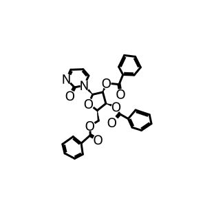 O=C(OC[C@H]1O[C@@H](n2cccnc2=O)[C@@H](OC(=O)c2ccccc2)[C@H]1OC(=O)c1ccccc1)c1ccccc1